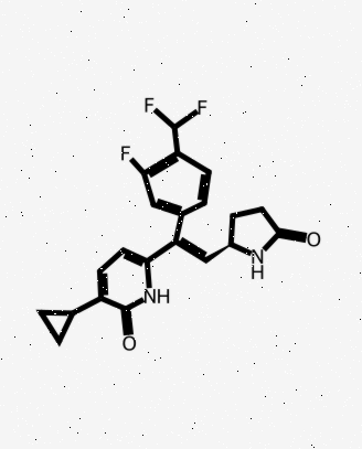 O=C1CC[C@H](/C=C(\c2ccc(C(F)F)c(F)c2)c2ccc(C3CC3)c(=O)[nH]2)N1